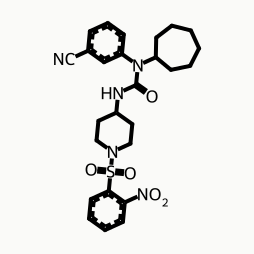 N#Cc1cccc(N(C(=O)NC2CCN(S(=O)(=O)c3ccccc3[N+](=O)[O-])CC2)C2CCCCCC2)c1